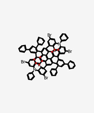 Brc1ccc2c(c1)N(c1ccccc1)c1cc(Br)cc3c1B2c1cc2c(-c4c(-c5ccccc5)cc(-c5ccccc5)cc4-c4ccccc4)cc4c5c(cc6c(-c7c(-c8ccccc8)cc(-c8ccccc8)cc7-c7ccccc7)cc-3c1c6c25)B1c2ccc(Br)cc2N(c2ccccc2)c2cc(Br)cc-4c21